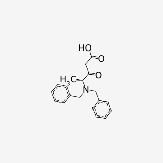 C[C@@H](C(=O)CC(=O)O)N(Cc1ccccc1)Cc1ccccc1